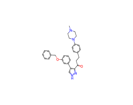 CN1CCN(c2ccc(CCC(=O)c3n[nH]cc3-c3cccc(OCc4ccccc4)c3)cc2)CC1